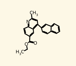 CCOC(=O)c1ccc2nc(C)cc(-c3ccc4ccccc4c3)c2c1